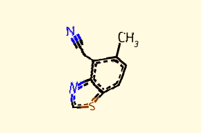 Cc1ccc2scnc2c1C#N